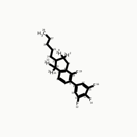 [2H]C1([2H])Cc2c(ccc(-c3cc(F)c(F)c(F)c3)c2F)C([2H])([2H])C1CCCCC